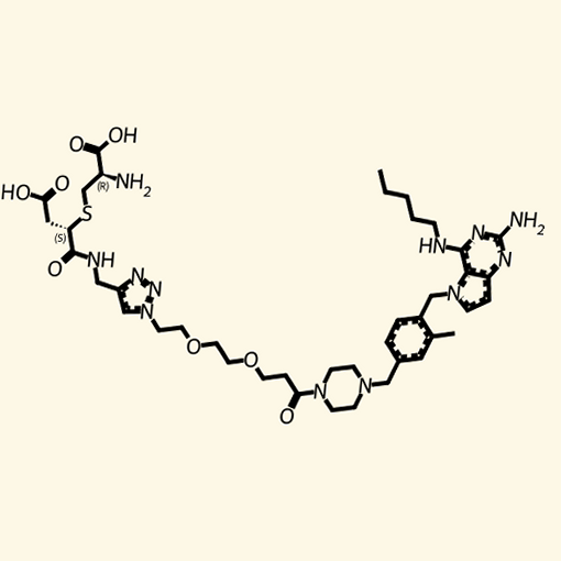 CCCCCNc1nc(N)nc2ccn(Cc3ccc(CN4CCN(C(=O)CCOCCOCCn5cc(CNC(=O)[C@H](CC(=O)O)SC[C@H](N)C(=O)O)nn5)CC4)cc3C)c12